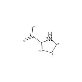 C=C(C)C1=CCCN1